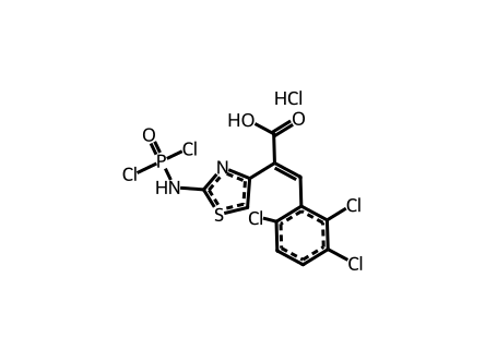 Cl.O=C(O)C(=Cc1c(Cl)ccc(Cl)c1Cl)c1csc(NP(=O)(Cl)Cl)n1